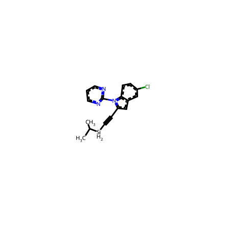 CC(C)[SiH2]C#Cc1cc2cc(Cl)ccc2n1-c1ncccn1